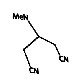 CNC(CC#N)CC#N